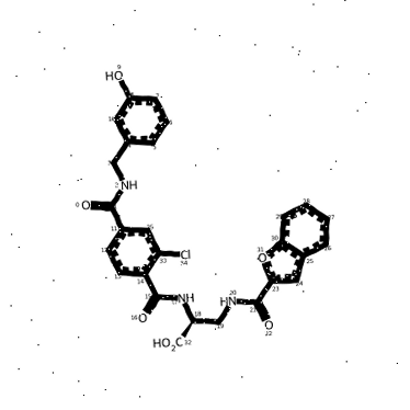 O=C(NCc1cccc(O)c1)c1ccc(C(=O)N[C@@H](CNC(=O)c2cc3ccccc3o2)C(=O)O)c(Cl)c1